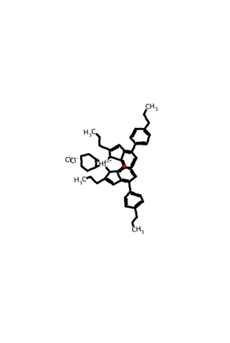 CCCC1=Cc2c(-c3ccc(CCC)cc3)cccc2[CH]1[Hf+2]1([CH]2C(CCC)=Cc3c(-c4ccc(CCC)cc4)cccc32)[CH]2CCCC[CH]21.[Cl-].[Cl-]